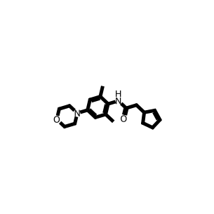 Cc1cc(N2CCOCC2)cc(C)c1NC(=O)CC1C=CCC1